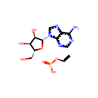 C=CO[PH](=O)O.Nc1ncnc2c1ncn2[C@@H]1O[C@H](CO)[C@@H](O)[C@H]1O